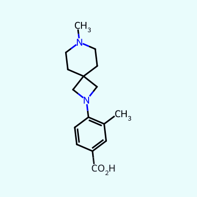 Cc1cc(C(=O)O)ccc1N1CC2(CCN(C)CC2)C1